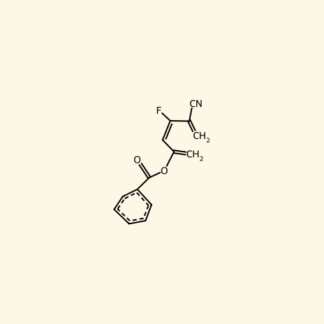 C=C(/C=C(/F)C(=C)C#N)OC(=O)c1ccccc1